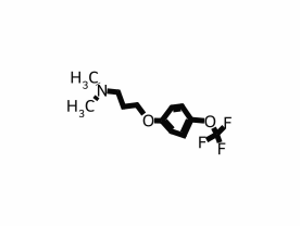 CN(C)CCCOc1ccc(OC(F)(F)F)cc1